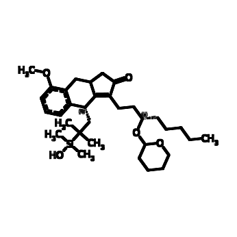 CCCCC[C@@H](CCC1=C2C(CC1=O)Cc1c(OC)cccc1[C@H]2CC(C)(C)[Si](C)(C)O)OC1CCCCO1